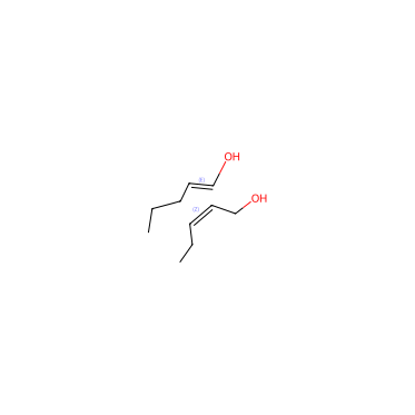 CC/C=C\CO.CCC/C=C/O